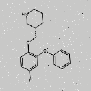 Fc1ccc(OC[C@H]2CCCNC2)c(Oc2ccccc2)c1